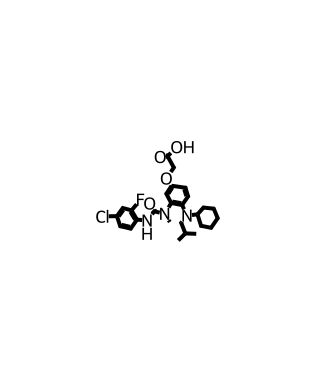 CC(C)CN(c1ccc(OCC(=O)O)cc1N(C)C(=O)Nc1ccc(Cl)cc1F)C1CCCCC1